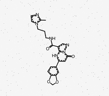 Cc1nccn1CCCNC(=O)c1cnn2c(=O)cc(-c3ccc4c(c3)OCO4)[nH]c12